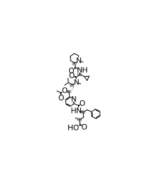 CC(=O)O[C@H](C[C@H](C(C)C)N(C)C(=O)[C@@H](NC(=O)[C@H]1CCCCN1C)C1CC1)c1cccc(C(=O)N[C@@H](Cc2ccccc2)C[C@H](C)C(=O)O)n1